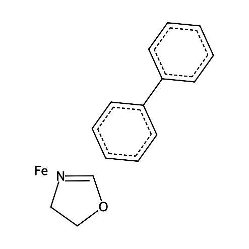 C1=NCCO1.[Fe].c1ccc(-c2ccccc2)cc1